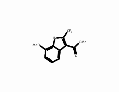 COC(=O)c1c(C(F)(F)F)[nH]c2c(OC)cccc12